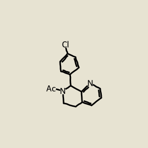 CC(=O)N1CCc2cccnc2C1c1ccc(Cl)cc1